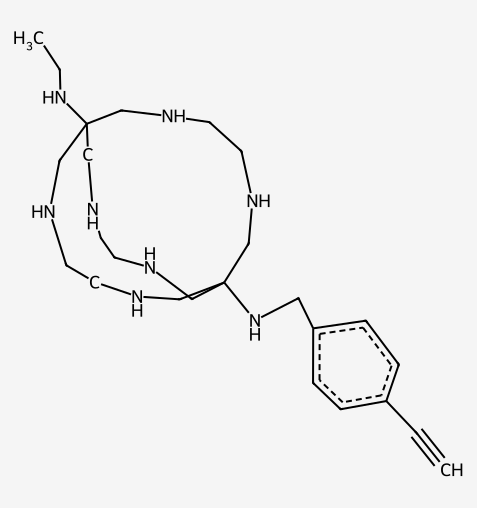 C#Cc1ccc(CNC23CNCCNCC(NCC)(CNCCNC2)CNCCNC3)cc1